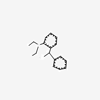 CCN(CC)c1ccccc1C(O)c1ccccc1